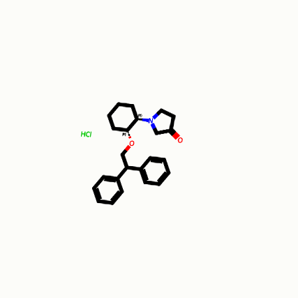 Cl.O=C1CCN([C@@H]2CCCC[C@H]2OCC(c2ccccc2)c2ccccc2)C1